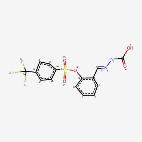 O=C(O)N/N=C/c1ccccc1OS(=O)(=O)c1ccc(C(F)(F)F)cc1